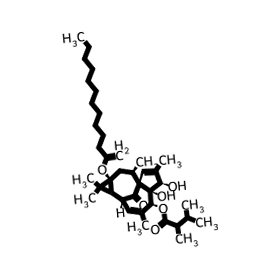 C=C(CCCCCCCCCCC)O[C@@]12C[C@@H](C)[C@]34C=C(C)[C@H](O)[C@@]3(O)[C@H](OC(=O)C(C)C(C)C)C(C)=C[C@H](C4=O)C1C2(C)C